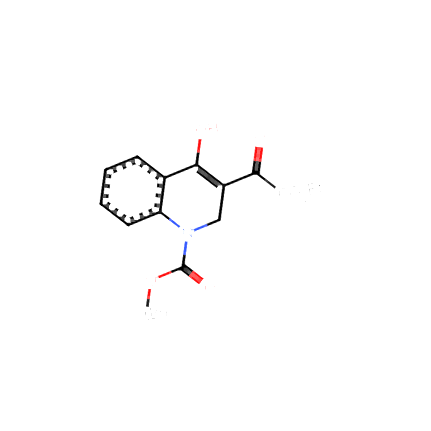 CCOC(=O)C(=O)C1=C(O)c2ccccc2N(C(=O)OC(C)(C)C)C1